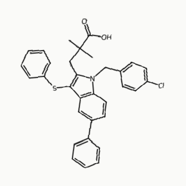 CC(C)(Cc1c(Sc2ccccc2)c2cc(-c3ccccc3)ccc2n1Cc1ccc(Cl)cc1)C(=O)O